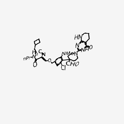 C=N/C(=C\OCc1cc(Cl)c(C2(C=O)CCN(c3nc4c(c(=O)[nH]3)CCCN4)CC2)c(NC)c1)C(=O)N(CCC)CCC1CCC1